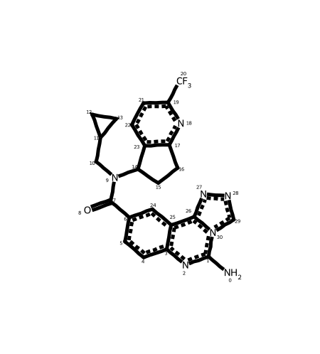 Nc1nc2ccc(C(=O)N(CC3CC3)C3CCc4nc(C(F)(F)F)ccc43)cc2c2nncn12